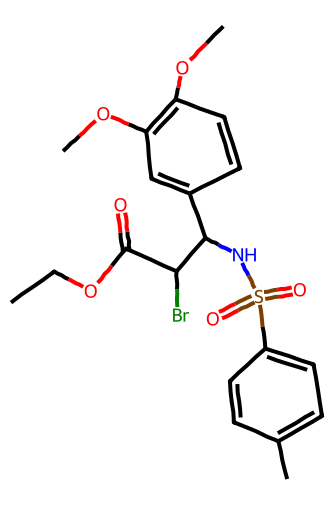 CCOC(=O)C(Br)C(NS(=O)(=O)c1ccc(C)cc1)c1ccc(OC)c(OC)c1